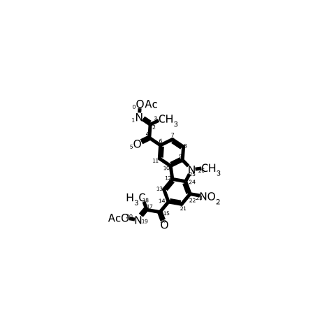 CC(=O)O/N=C(\C)C(=O)c1ccc2c(c1)c1cc(C(=O)/C(C)=N/OC(C)=O)cc([N+](=O)[O-])c1n2C